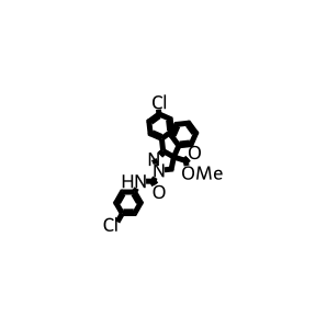 COC(=O)C1(c2ccccc2)CN(C(=O)Nc2ccc(Cl)cc2)N=C1c1ccc(Cl)cc1